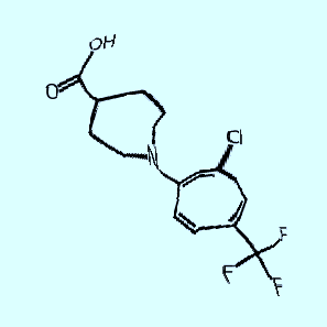 O=C(O)C1CCN(c2ccc(C(F)(F)F)cc2Cl)CC1